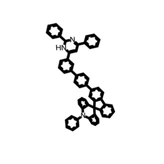 C1=C(c2cccc(-c3ccc(-c4ccc5c(c4)C4(c6ccccc6-5)c5ccccc5N(c5ccccc5)c5ccccc54)cc3)c2)NC(c2ccccc2)N=C1c1ccccc1